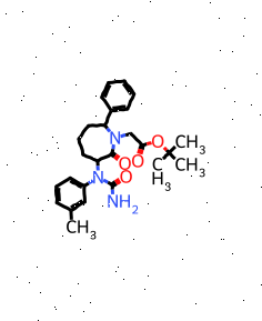 Cc1cccc(N(C(N)=O)C2CCCC(c3ccccc3)N(CC(=O)OC(C)(C)C)C2=O)c1